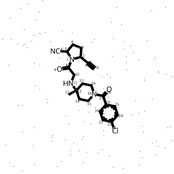 C#CC1CCC(C#N)N1C(=O)CNC1(C)CCN(C(=O)c2ccc(Cl)cc2)CC1